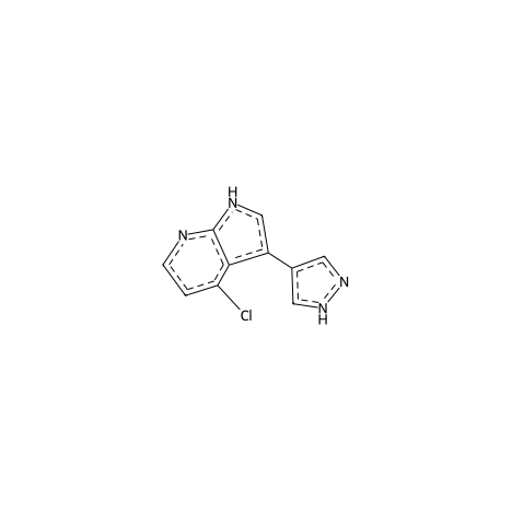 Clc1ccnc2[nH]cc(-c3cn[nH]c3)c12